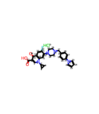 Cl.O=C(O)c1cn(C2CC2)c2cc(N3CCN(Cc4ccc(-n5cccc5)cc4)CC3)c(F)cc2c1=O